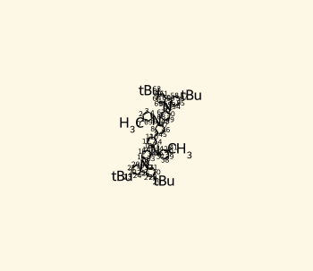 Cc1cccc(-n2c3cc(-c4ccc5c6ccc(-n7c8ccc(C(C)(C)C)cc8c8cc(C(C)(C)C)ccc87)cc6n(-c6cccc(C)c6)c5c4)ccc3c3ccc(-n4c5ccc(C(C)(C)C)cc5c5cc(C(C)(C)C)ccc54)cc32)c1